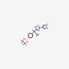 Cn1cc(-c2nc([C@@](C)(c3ccc(B4OC(C)(C)C(C)(C)O4)cc3)C3CC3)no2)cn1